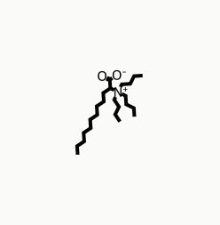 CCCCCCCCCCC(C(=O)[O-])[N+](CCCC)(CCCC)CCCC